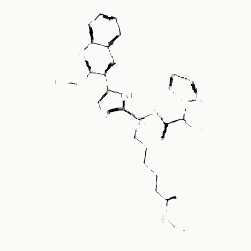 CNC(=O)CCCCC[C@H](NC(=O)C(C)n1cccn1)c1ncc(-c2cc3ccccc3nc2OC)[nH]1